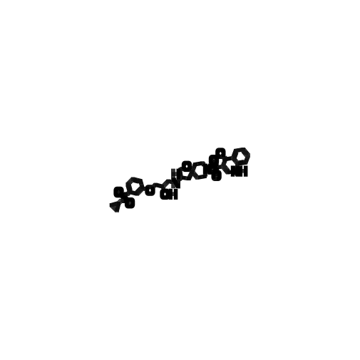 O=c1c(S(=O)(=O)N2CCC3(CC2)CC(NCC(O)COc2cccc(S(=O)(=O)C4CC4)c2)CO3)c[nH]c2ccccc12